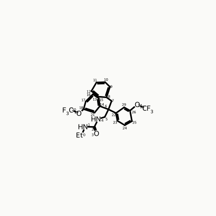 CCNC(=O)NCC(Cc1ccccc1)(c1cccc(OC(F)(F)F)c1)c1cccc(OC(F)(F)F)c1